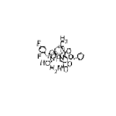 C[C@@H]1CC[C@]2(C[C@@H](CO)N(Cc3ccc(F)cc3F)O2)[C@H]2CN1C(=O)c1c(OCc3ccccc3)c(=O)c(C(N)=O)cn12